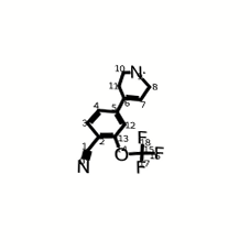 N#Cc1ccc(C2=CC[N]CC2)cc1OC(F)(F)F